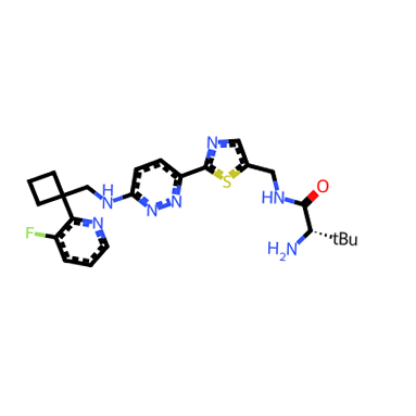 CC(C)(C)[C@H](N)C(=O)NCc1cnc(-c2ccc(NCC3(c4ncccc4F)CCC3)nn2)s1